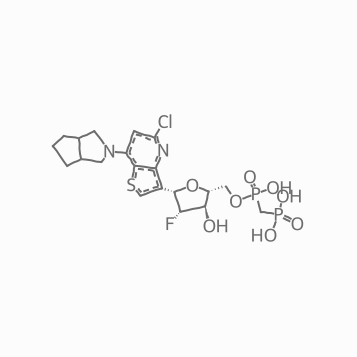 O=P(O)(O)CP(=O)(O)OC[C@H]1O[C@@H](c2csc3c(N4CC5CCCC5C4)cc(Cl)nc23)[C@@H](F)[C@@H]1O